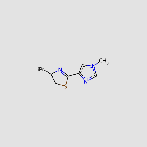 CC(C)C1CSC(c2cn(C)cn2)=N1